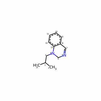 CC(C)CN1CN=Cc2ccccc21